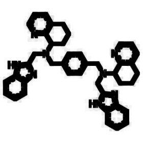 c1cnc2c(c1)CCCC2N(Cc1ccc(CN(Cc2nc3ccccc3[nH]2)C2CCCc3cccnc32)cc1)Cc1nc2ccccc2[nH]1